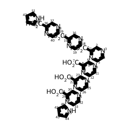 O=C(O)c1cnccn1.O=C(O)c1cnccn1.O=C(O)c1cnccn1.O=C(O)c1cnccn1.O=C(O)c1cnccn1.O=C(O)c1cnccn1.c1cc[nH]c1.c1cc[nH]c1